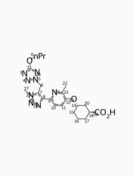 CCCOc1nnn(Cc2c(-c3ccc(O[C@H]4CCC[C@H](C(=O)O)C4)c(C)n3)nnn2C)n1